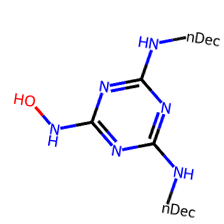 CCCCCCCCCCNc1nc(NO)nc(NCCCCCCCCCC)n1